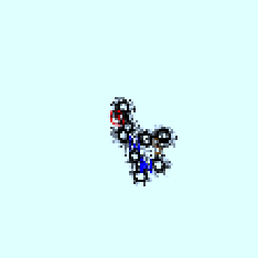 c1ccc(-n2c3ccccc3c3ccc(N(c4ccc5c(c4)sc4ccccc45)c4cccc5c4ccc4c6ccccc6oc54)cc32)cc1